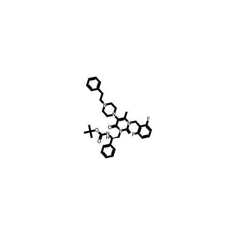 C=C1N(C[C@H](NC(=O)OC(C)(C)C)c2ccccc2)C(=O)C(N2CCN(CCc3ccccc3)CC2)=C(C)N1Cc1c(F)cccc1F